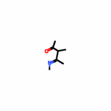 C/N=C(\C)C(C)C(C)=O